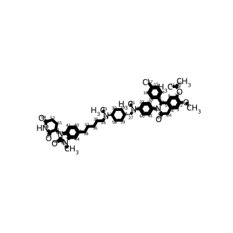 COc1cc2c(cc1OC(C)C)C(c1ccc(Cl)cc1)N(c1ccc(N(C)C[C@H]3CC[C@H](N(C)CCCCCc4ccc5c(c4)n(C)c(=O)n5C4CCC(=O)NC4=O)CC3)cc1)C(=O)C2